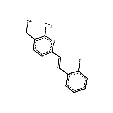 Cc1nc(C=Cc2ccccc2Cl)ccc1CO